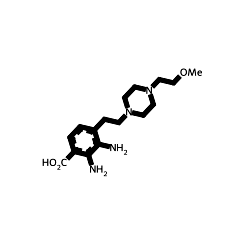 COCCN1CCN(CCc2ccc(C(=O)O)c(N)c2N)CC1